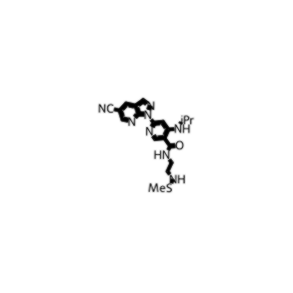 CSNCCNC(=O)c1cnc(-n2ncc3cc(C#N)cnc32)cc1NC(C)C